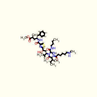 CCCCNC(=O)C(C)N(C(=O)[C@@H](NC(=O)CCCCCNC)[C@@H](C)CC)[C@H](C[C@@H](O)c1nc(C(=O)N[C@@H](Cc2ccccc2)C[C@H](C)C(=O)OC)cs1)C(C)C